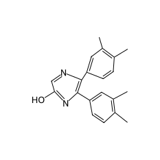 Cc1ccc(-c2ncc(O)nc2-c2ccc(C)c(C)c2)cc1C